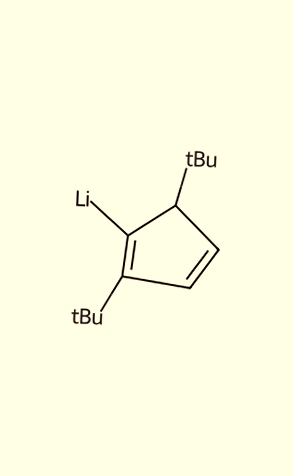 [Li][C]1=C(C(C)(C)C)C=CC1C(C)(C)C